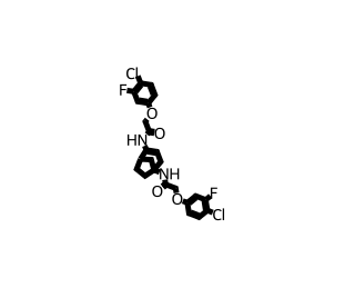 O=C(COc1ccc(Cl)c(F)c1)NC1=CCC2(NC(=O)COc3ccc(Cl)c(F)c3)CCC1C2